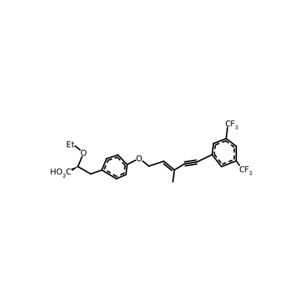 CCO[C@@H](Cc1ccc(OC/C=C(\C)C#Cc2cc(C(F)(F)F)cc(C(F)(F)F)c2)cc1)C(=O)O